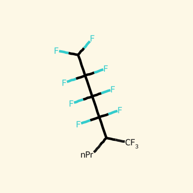 CCCC(C(F)(F)F)C(F)(F)C(F)(F)C(F)(F)C(F)F